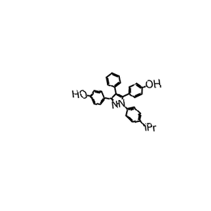 CC(C)c1ccc(-n2nc(-c3ccc(O)cc3)c(-c3ccccc3)c2-c2ccc(O)cc2)cc1